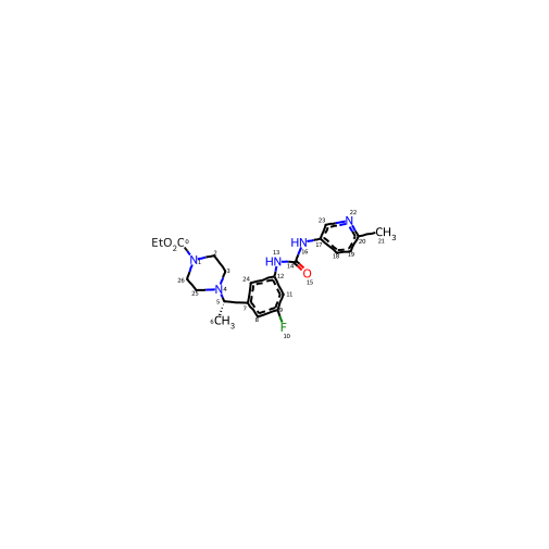 CCOC(=O)N1CCN([C@@H](C)c2cc(F)cc(NC(=O)Nc3ccc(C)nc3)c2)CC1